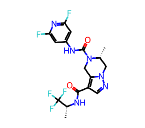 C[C@@H]1Cn2ncc(C(=O)N[C@H](C)C(F)(F)F)c2CN1C(=O)Nc1cc(F)nc(F)c1